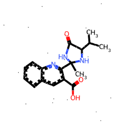 CC(C)C1NC(C)(c2nc3ccccc3cc2C(=O)O)NC1=O